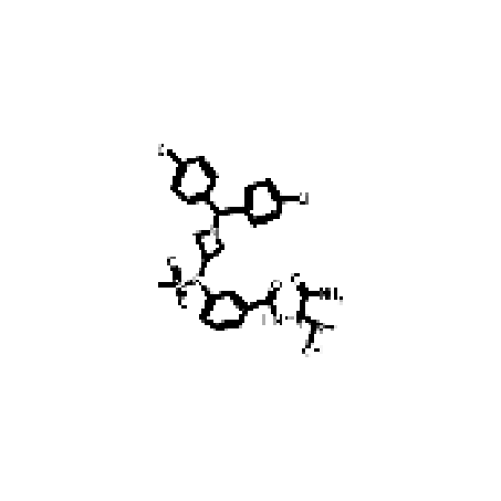 C[C@@H](O)[C@H](NC(=O)c1cccc(N(C2CN(C(c3ccc(Cl)cc3)c3ccc(Cl)cc3)C2)S(C)(=O)=O)c1)C(N)=O